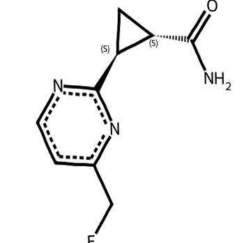 NC(=O)[C@H]1C[C@@H]1c1nccc(CF)n1